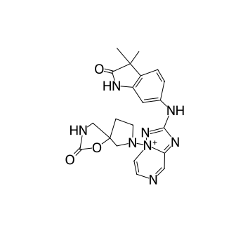 CC1(C)C(=O)Nc2cc(NC3=N[N+]4(N5CCC6(CNC(=O)O6)C5)C=CN=CC4=N3)ccc21